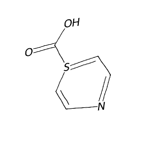 O=C(O)S1=CC=NC=C1